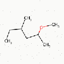 CC[C](C)CC(C)OC